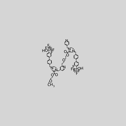 CCOCCOC(=O)[C@H]1CN(Cc2ccc(-c3ccc(C(O)(C(F)(F)F)C(F)(F)F)cc3)cc2)CCN1Cc1ccnc(CCOCCOC(=O)[C@@H]2CN(Cc3ccc(-c4ccc(C(O)(C(F)(F)F)C(F)(F)F)cc4)cc3)CCN2Cc2ccncc2)c1